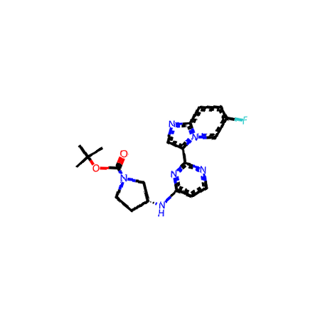 CC(C)(C)OC(=O)N1CC[C@@H](Nc2ccnc(-c3cnc4ccc(F)cn34)n2)C1